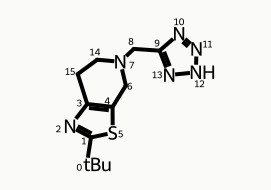 CC(C)(C)c1nc2c(s1)CN(Cc1nn[nH]n1)CC2